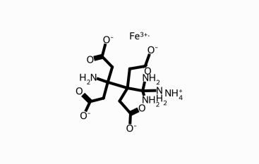 NC(N)(N)C(CC(=O)[O-])(CC(=O)[O-])C(N)(CC(=O)[O-])CC(=O)[O-].[Fe+3].[NH4+]